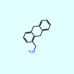 NCc1cccc2c1Cc1ccccc1C2